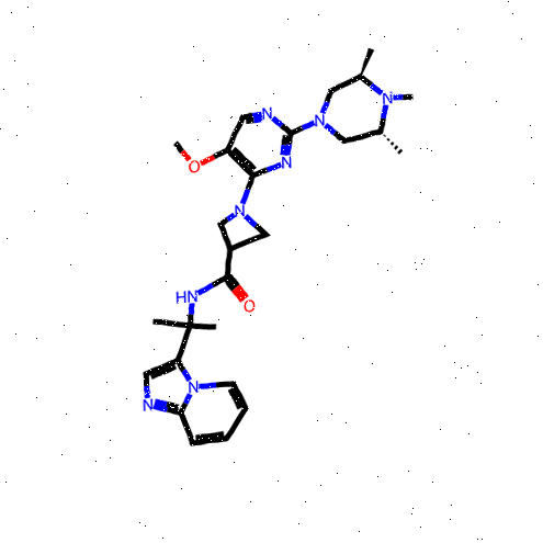 COc1cnc(N2C[C@@H](C)N(C)[C@H](C)C2)nc1N1CC(C(=O)NC(C)(C)c2cnc3ccccn23)C1